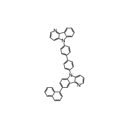 c1ccc2c(-c3ccc4c(c3)c3ncccc3n4-c3ccc(-c4ccc(-n5c6ccccc6c6ncccc65)cc4)cc3)cccc2c1